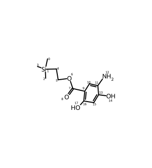 C[Si](C)(C)CCOC(=O)c1cc(N)c(O)cc1O